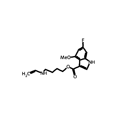 C=CNCCCCOC(=O)c1c[nH]c2cc(F)cc(OC)c12